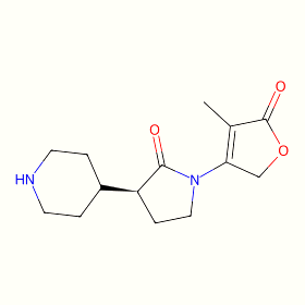 CC1=C(N2CC[C@@H](C3CCNCC3)C2=O)COC1=O